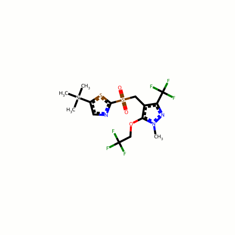 Cn1nc(C(F)(F)F)c(CS(=O)(=O)c2ncc([Si](C)(C)C)s2)c1OCC(F)(F)F